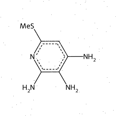 CSc1cc(N)c(N)c(N)n1